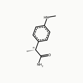 CNc1ccc([C@@H](C)C(N)=O)cc1